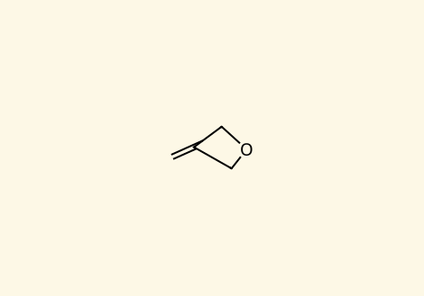 C=C1COC1